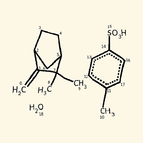 C=C1C2CCC(C2)C1(C)C.Cc1ccc(S(=O)(=O)O)cc1.O